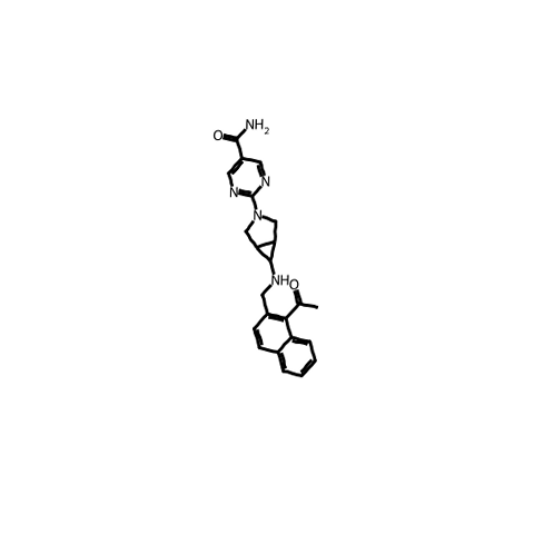 CC(=O)c1c(CNC2C3CN(c4ncc(C(N)=O)cn4)CC32)ccc2ccccc12